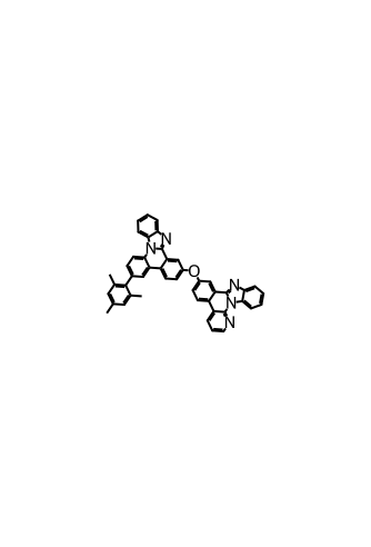 Cc1cc(C)c(-c2ccc3c(c2)c2ccc(Oc4ccc5c6cccnc6n6c7ccccc7nc6c5c4)cc2c2nc4ccccc4n32)c(C)c1